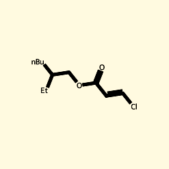 CCCCC(CC)COC(=O)C=CCl